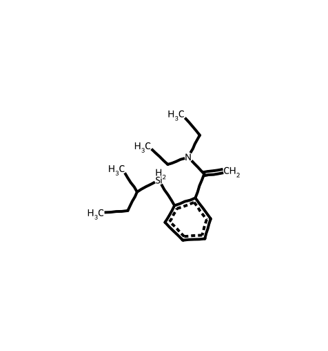 C=C(c1ccccc1[SiH2]C(C)CC)N(CC)CC